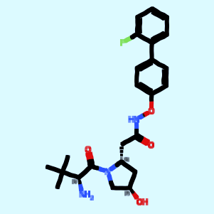 CC(C)(C)[C@H](N)C(=O)N1C[C@H](O)C[C@H]1CC(=O)NOc1ccc(-c2ccccc2F)cc1